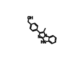 Cc1c(-c2ccc(CO)cc2)nc2[nH]c3ccccc3n12